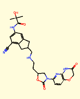 CC(C)(O)C(=O)Nc1cc(C#N)c2c(c1)CC(CNCCC1CN(c3ccc4c(n3)NC(=O)CO4)C(=O)O1)C2